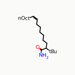 CCCCCCCC/C=C\CCCCCCC(C(N)=O)C(C)(C)C